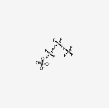 F[N+](F)(F)F.F[N+](F)(F)F.F[N+](F)(F)F.[O]=[Sb]([O-])([O-])[O-]